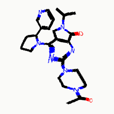 CC(=O)N1CCN(c2nc3c(c(N4CCCC4c4cccnc4)n2)CN(C(C)C)C3=O)CC1